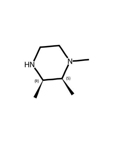 C[C@H]1NCCN(C)[C@H]1C